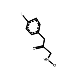 O=C(CNCl)Cc1ccc(F)cc1